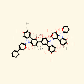 Cc1c(O)c(C)c2c(c1O)c1c(O)c(-c3c(C)c(O)c4c(c3C)c3c(O)c(O)c(O)c5c3n4-c3c(C)c(O)c(O)c4c3c3c(c(C)c(O)c(O)c3n4C3=CCCC=C3)B5)c(C)c(O)c1n2C1=CC=C(C2=CC=CCC2)CC1